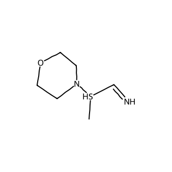 C[SH](C=N)N1CCOCC1